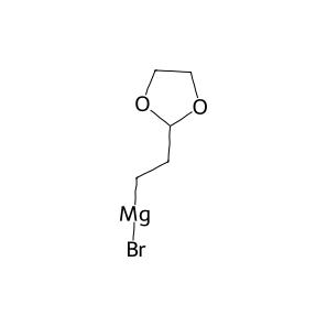 [Br][Mg][CH2]CC1OCCO1